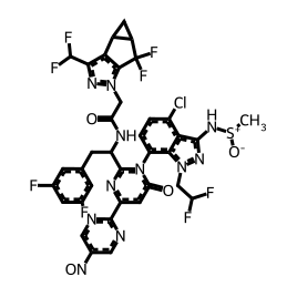 C[S+]([O-])Nc1nn(CC(F)F)c2c(-n3c(C(Cc4cc(F)cc(F)c4)NC(=O)Cn4nc(C(F)F)c5c4C(F)(F)C4CC54)nc(-c4ncc(N=O)cn4)cc3=O)ccc(Cl)c12